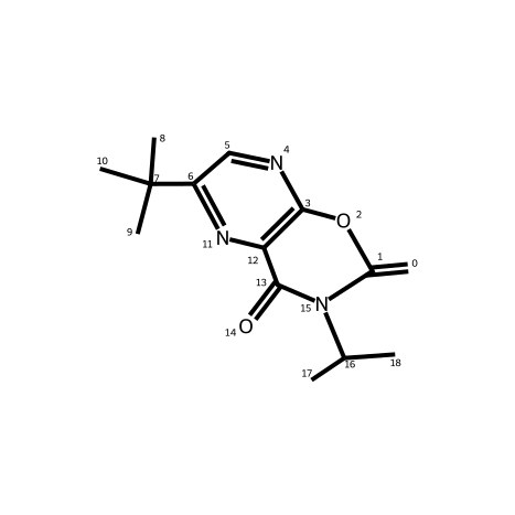 C=C1Oc2ncc(C(C)(C)C)nc2C(=O)N1C(C)C